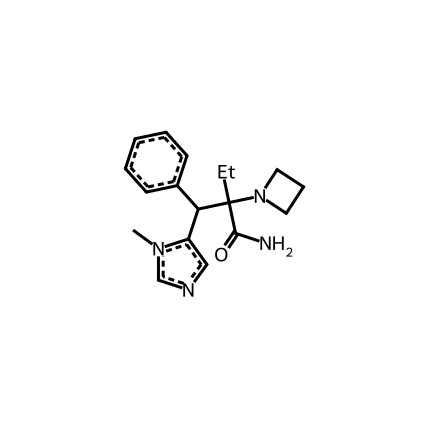 CCC(C(N)=O)(C(c1ccccc1)c1cncn1C)N1CCC1